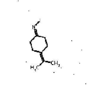 CC(C)=C1CCC(=NI)CC1